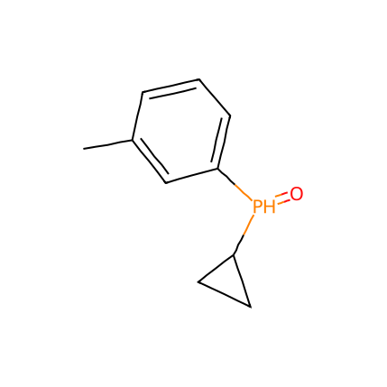 Cc1cccc([PH](=O)C2CC2)c1